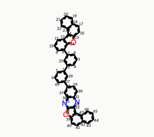 c1cc(-c2cccc(-c3cccc4c3oc3ccc5ccccc5c34)c2)cc(-c2ccc3nc4c(nc3c2)oc2ccc3ccccc3c24)c1